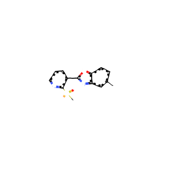 CCS(=O)(=O)c1ncccc1-c1nc2cc(C(F)(F)F)ccc2o1